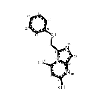 Clc1cc(Cl)n2c(CSc3ccccc3)ncc2n1